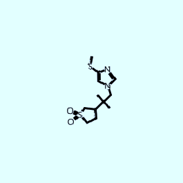 CSc1cn(CC(C)(C)C2CCS(=O)(=O)C2)cn1